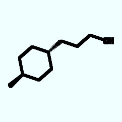 C[C@H]1CC[C@H](CCCO)CC1